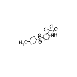 CC1CCC(S(=O)(=O)c2ccc3c(c2)C(Cl)(Cl)C(=O)N3)CC1